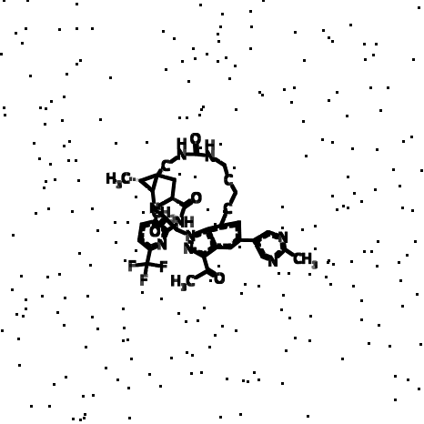 CC(=O)c1nn2c3c(cc(-c4cnc(C)nc4)cc13)CCCCNC(=O)NC[C@@]13C[C@@H](C(=O)Nc4nc(C(F)(F)F)ccc4C)N(C(=O)C2)C1[C@@H]3C